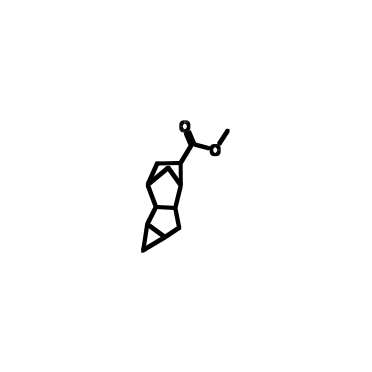 COC(=O)C1CC2CC1C1CC3CC3C21